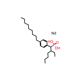 CCCCCCCCCc1ccc(C(C(CC)CCCC)P(=O)(O)O)cc1.[Nd]